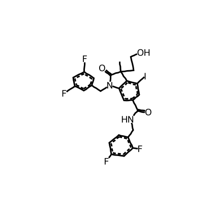 CC1(CCO)C(=O)N(Cc2cc(F)cc(F)c2)c2cc(C(=O)NCc3ccc(F)cc3F)cc(I)c21